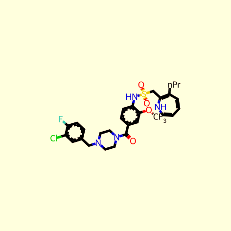 CCCC1=C(CS(=O)(=O)Nc2ccc(C(=O)N3CCN(Cc4ccc(F)c(Cl)c4)CC3)cc2OC(F)(F)F)NC=CC=C1